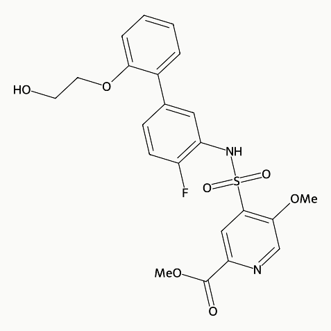 COC(=O)c1cc(S(=O)(=O)Nc2cc(-c3ccccc3OCCO)ccc2F)c(OC)cn1